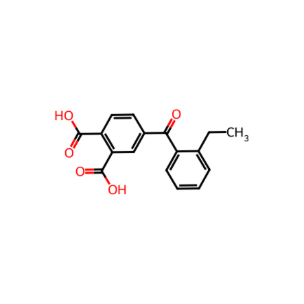 CCc1ccccc1C(=O)c1ccc(C(=O)O)c(C(=O)O)c1